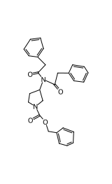 O=C(OCc1ccccc1)N1CCC(N(C(=O)Cc2ccccc2)C(=O)Cc2ccccc2)C1